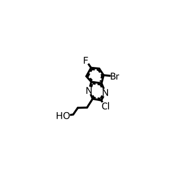 OCCCc1nc2cc(F)cc(Br)c2nc1Cl